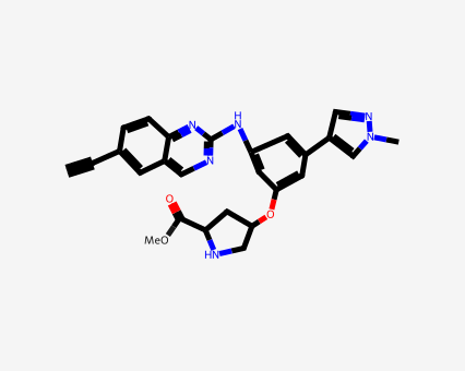 C#Cc1ccc2nc(Nc3cc(OC4CNC(C(=O)OC)C4)cc(-c4cnn(C)c4)c3)ncc2c1